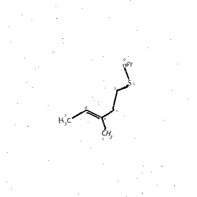 [CH2]CCSCCC(C)=CC